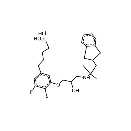 CC(C)(CC1Cc2ccccc2C1)NCC(O)COc1cc(CCCCC(=O)O)cc(F)c1F.Cl